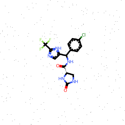 O=C1NC[C@@H](C(=O)NC(c2ccc(Cl)cc2)c2cnc(C(F)(F)F)[nH]2)N1